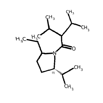 CCC1CC[C@@H](C(C)C)N1C(=O)C(C(C)C)C(C)C